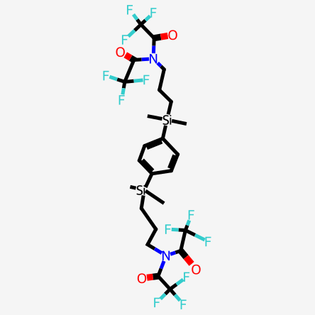 C[Si](C)(CCCN(C(=O)C(F)(F)F)C(=O)C(F)(F)F)c1ccc([Si](C)(C)CCCN(C(=O)C(F)(F)F)C(=O)C(F)(F)F)cc1